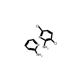 Nc1ccccn1.Nc1nc(Cl)ccc1Cl